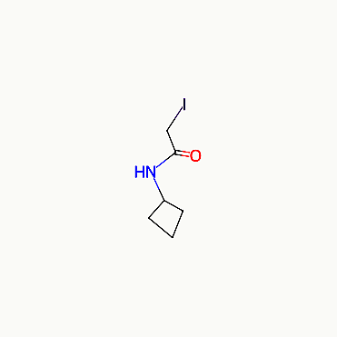 O=C(CI)NC1CCC1